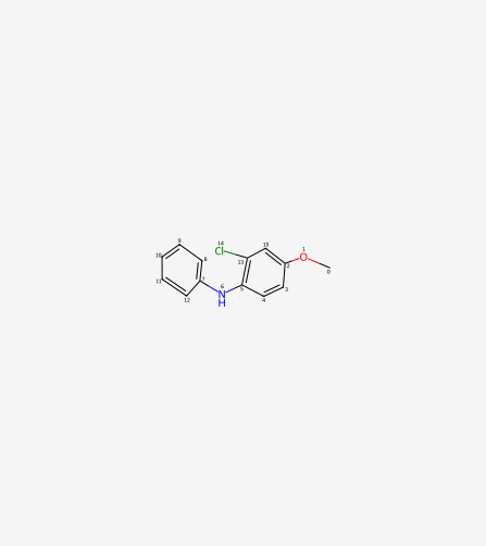 COc1ccc(Nc2ccccc2)c(Cl)c1